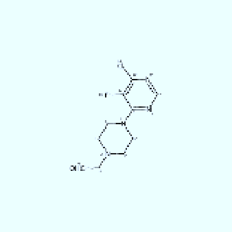 O=CCN1CCN(c2ncnc(Cl)c2F)CC1